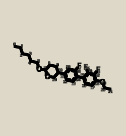 CCCCCCOC1CCC(c2ccc(-c3ccc(OCC)c(F)c3F)c(F)c2)CO1